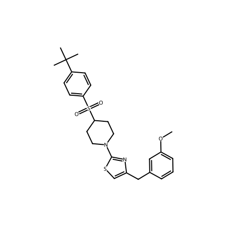 COc1cccc(Cc2csc(N3CCC(S(=O)(=O)c4ccc(C(C)(C)C)cc4)CC3)n2)c1